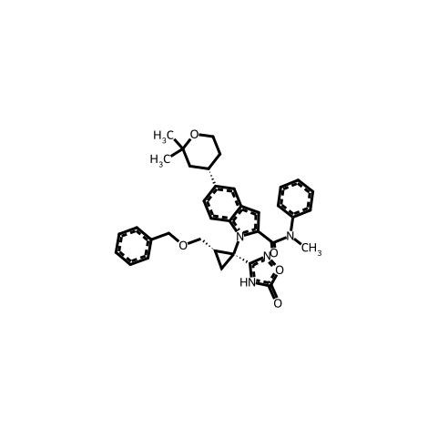 CN(C(=O)c1cc2cc([C@H]3CCOC(C)(C)C3)ccc2n1[C@@]1(c2noc(=O)[nH]2)C[C@@H]1COCc1ccccc1)c1ccccc1